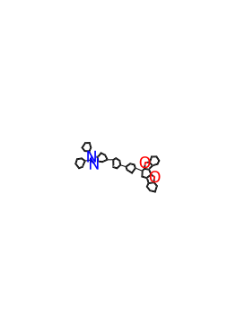 c1ccc(-c2nc3cc(-c4ccc(-c5ccc(-c6cc7c8ccccc8oc7c7c6oc6ccccc67)cc5)cc4)ccc3n2-c2ccccc2)cc1